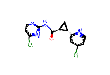 O=C(Nc1nccc(Cl)n1)[C@H]1C[C@@H]1c1cc(Cl)ccn1